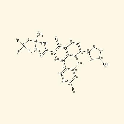 CC(C)(CC(F)(F)F)NC(=O)c1cn(-c2ncc(F)cc2F)c2nc(N3CCC(O)C3)ccc2c1=O